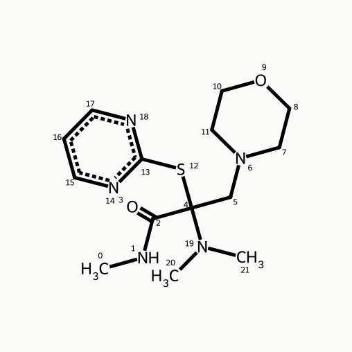 CNC(=O)C(CN1CCOCC1)(Sc1ncccn1)N(C)C